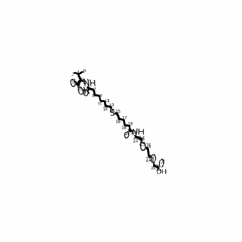 CC(C)C(NC(=O)CCCCCCCSCCCCCC(=O)NCCOCCOCC(=O)O)C(=O)O